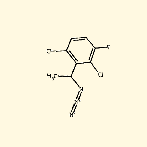 CC(N=[N+]=[N-])c1c(Cl)ccc(F)c1Cl